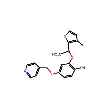 Cc1ccsc1C(Oc1cc(OCc2ccncc2)ccc1C#N)C(=O)O